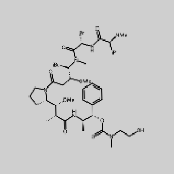 CC[C@H](C)[C@@H](C(CC(=O)N1CCC[C@H]1[C@H](OC)[C@@H](C)C(=O)N[C@H](C)[C@@H](OC(=O)N(C)CCO)c1ccccc1)OC)N(C)C(=O)[C@@H](NC(=O)[C@@H](NC)C(C)C)C(C)C